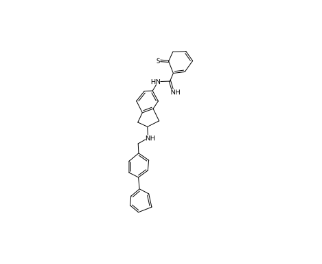 N=C(Nc1ccc2c(c1)CC(NCc1ccc(-c3ccccc3)cc1)C2)C1=CC=CCC1=S